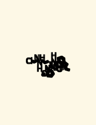 CCN1Cc2cccc(C(=O)N[C@@H](CCCNC(=N)CCl)c3nc4c(OC)cccc4[nH]3)c2C1=O